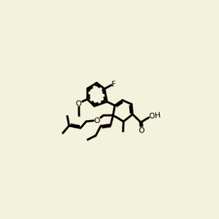 CCC=CC1(COCC=C(C)C)C(c2cc(OC)ccc2F)=CC=C(C(=O)O)C1C